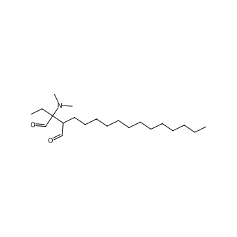 CCCCCCCCCCCCCC(C=O)C(C=O)(CC)N(C)C